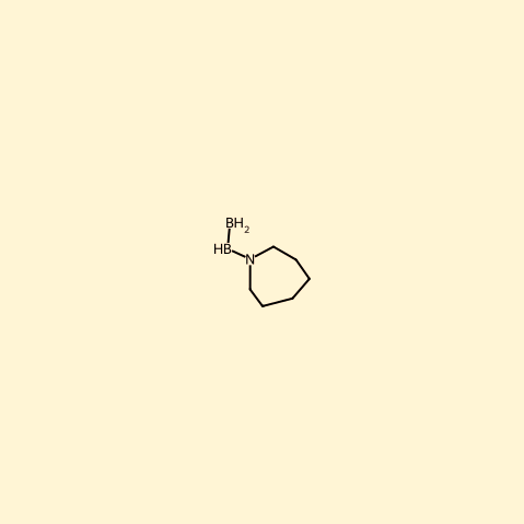 BBN1CCCCCC1